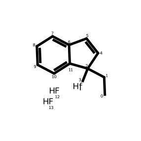 CC[C]1([Hf])C=Cc2ccccc21.F.F